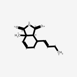 CCC=CC1CC=CC2(C)C(=O)OC(=O)C12